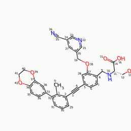 Cc1c(C#Cc2ccc(CN[C@@H](CO)C(=O)O)c(OCc3cncc(C#N)c3)c2)cccc1-c1ccc2c(c1)OCCO2